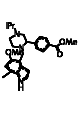 COC(=O)c1ccc(C2CN(C(C)C)CCN2Cc2c(OC)cc(C)c3[nH]ccc23)cc1